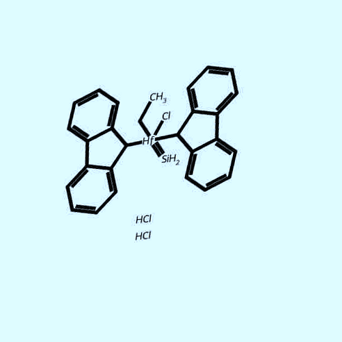 C[CH2][Hf](=[SiH2])([Cl])([CH]1c2ccccc2-c2ccccc21)[CH]1c2ccccc2-c2ccccc21.Cl.Cl